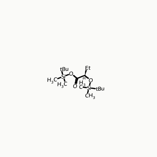 CC[C@@H](O[Si](C)(C)C(C)(C)C)C(=O)O[Si](C)(C)C(C)(C)C